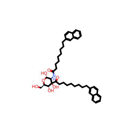 O=C(CCCCCCCCc1ccc2ccccc2c1)N[C@@H]1[C@@H](O)O[C@H](CO)[C@@H](O)[C@@]1(O)C(=O)CCCCCCCCc1ccc2ccccc2c1